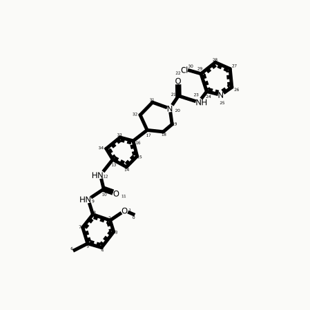 COc1ccc(C)cc1NC(=O)Nc1ccc(C2CCN(C(=O)Nc3ncccc3Cl)CC2)cc1